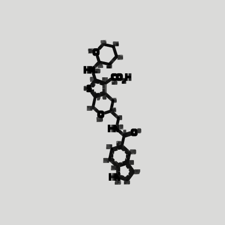 O=C(NCC1Cc2c(sc(NC3CCCCO3)c2C(=O)O)CO1)c1ccc2[nH]ccc2c1